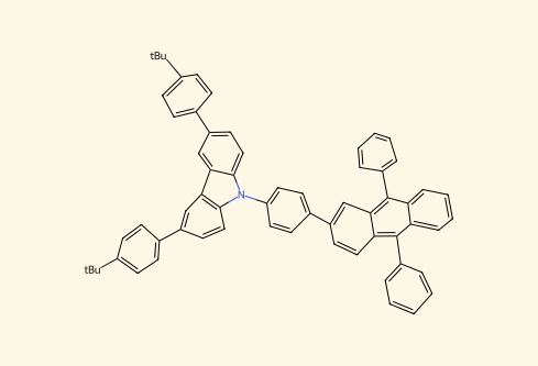 CC(C)(C)c1ccc(-c2ccc3c(c2)c2cc(-c4ccc(C(C)(C)C)cc4)ccc2n3-c2ccc(-c3ccc4c(-c5ccccc5)c5ccccc5c(-c5ccccc5)c4c3)cc2)cc1